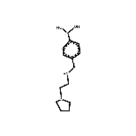 OB(O)c1ccc(CNCCN2CCCC2)cc1